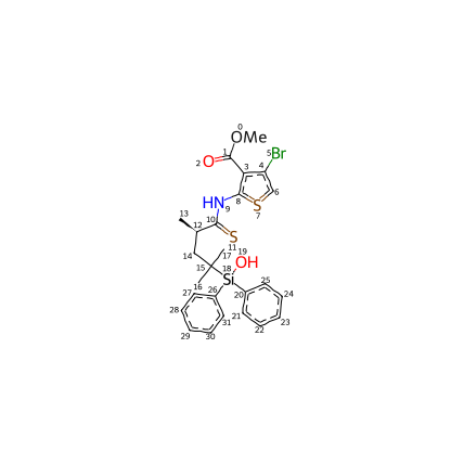 COC(=O)c1c(Br)csc1NC(=S)[C@H](C)CC(C)(C)[Si](O)(c1ccccc1)c1ccccc1